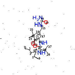 CCCC(C)(CC)NC(C(=O)NC(CCCNC(N)=O)C(=O)C(C)(C)C)C(C)C